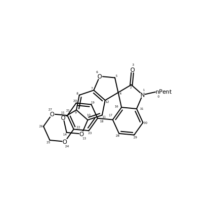 CCCCCN1C(=O)C2(COc3cc4c(cc32)OCO4)c2c(-c3ccc4c(c3)OCCO4)cccc21